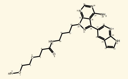 CCCOCCOCCC(=O)NCCCCn1nc(-c2cnc3[nH]ccc3c2)c2c(N)ncnc21